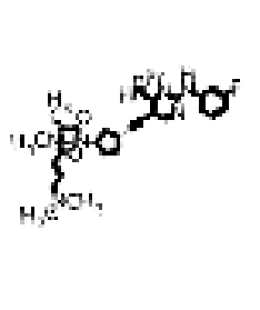 CCCNc1nc(Nc2cccc(F)c2)ncc1C#C[C@@H]1CC[C@H](NC(=O)[C@H](C)N(C)C(=O)/C=C/CN(C)C)C1